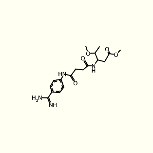 COC(=O)CC(NC(=O)CCC(=O)Nc1ccc(C(=N)N)cc1)C(C)OC